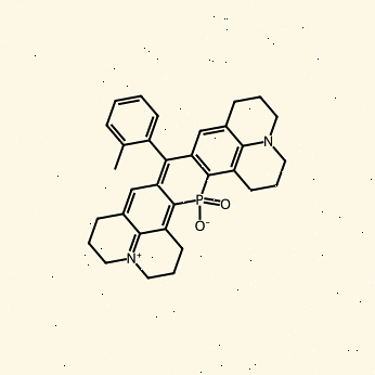 Cc1ccccc1C1=c2cc3c4c(c2P(=O)([O-])c2c1cc1c5c2CCCN5CCC1)CCC[N+]=4CCC3